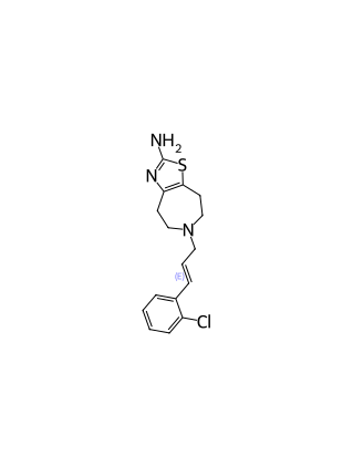 Nc1nc2c(s1)CCN(C/C=C/c1ccccc1Cl)CC2